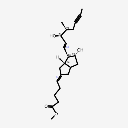 CC#CC[C@H](C)[C@H](O)/C=C/[C@H]1[C@H](O)CC2C/C(=C\CCCC(=O)OC)C[C@@H]21